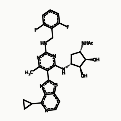 CC(=O)N[C@H]1C[C@@H](Nc2nc(NCc3c(F)cccc3F)nc(C)c2-c2nc3c(C4CC4)nccc3s2)[C@H](O)[C@@H]1O